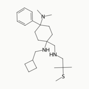 CSC(C)(C)CNCC1(NCC2CCC2)CCC(c2ccccc2)(N(C)C)CC1